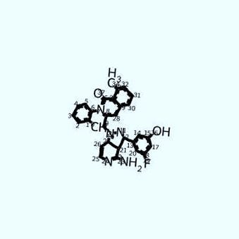 Cc1ccccc1-n1c(CN2N=C(c3cc(O)cc(F)c3)C3C(N)=NC=CC32)cc2cccc(C)c2c1=O